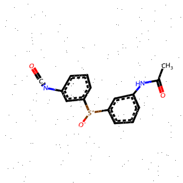 CC(=O)Nc1cccc([S+]([O-])c2cccc(N=C=O)c2)c1